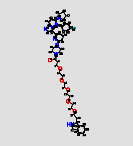 O=C(CCOCCOCCOCCOCCOCCC1NCc2ccccc21)N1CCN(c2cccc(-c3cnc4ccc(N5CCC[C@@H]5c5cccc(F)c5)nn34)n2)CC1